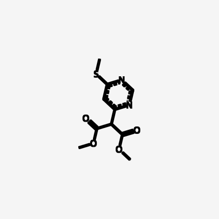 COC(=O)C(C(=O)OC)c1cc(SC)ncn1